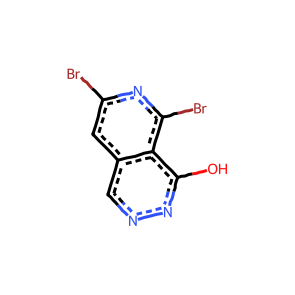 Oc1nncc2cc(Br)nc(Br)c12